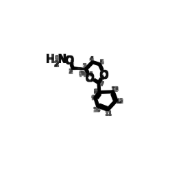 NOC[C@H]1CCOC(c2ccccc2)O1